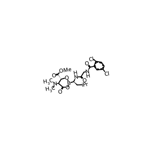 COC(=O)[C@@H]1OB([C@H](CC(C)C)NC(=O)CNC(=O)c2cc(Cl)ccc2Cl)OC(=O)[C@H]1N(C)C